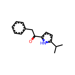 CC(C)c1ccc(C(=O)Cc2ccccc2)[nH]1